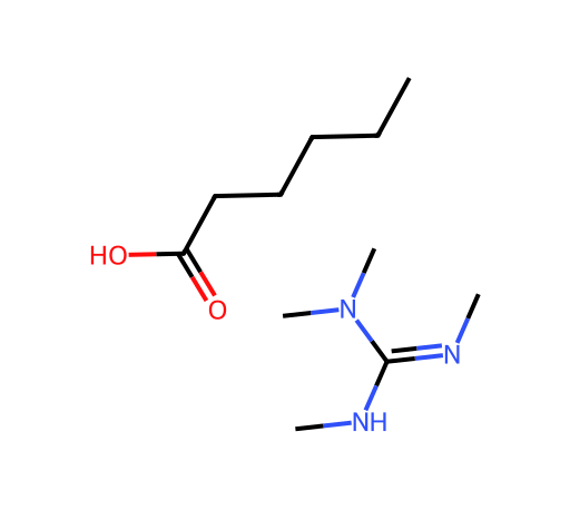 CCCCCC(=O)O.CN=C(NC)N(C)C